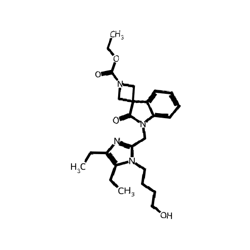 CCOC(=O)N1CC2(C1)C(=O)N(Cc1nc(CC)c(CC)n1CCCCO)c1ccccc12